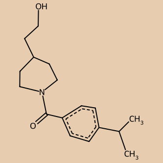 CC(C)c1ccc(C(=O)N2CCC(CCO)CC2)cc1